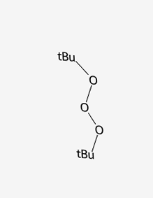 CC(C)(C)OOOC(C)(C)C